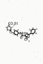 CCOC(=O)N1CC[C@H](Oc2ccc(NC(=O)c3nc(-c4ccccc4)oc3C(F)(F)F)cc2)C1